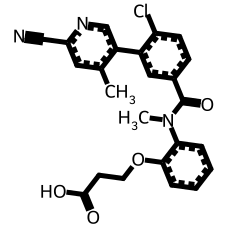 Cc1cc(C#N)ncc1-c1cc(C(=O)N(C)c2ccccc2OCCC(=O)O)ccc1Cl